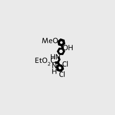 CCOC(=O)c1[nH]c2cc(Cl)cc(Cl)c2c1CNC1CCC(O)(c2cccc(OC)c2)CC1